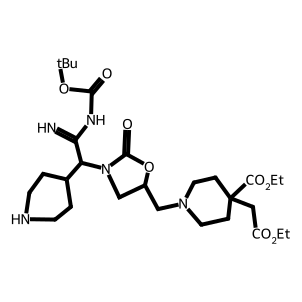 CCOC(=O)CC1(C(=O)OCC)CCN(CC2CN(C(C(=N)NC(=O)OC(C)(C)C)C3CCNCC3)C(=O)O2)CC1